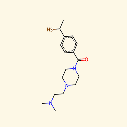 CC(S)c1ccc(C(=O)N2CCN(CCN(C)C)CC2)cc1